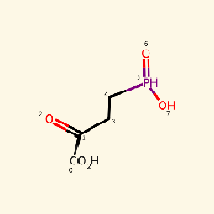 O=C(O)C(=O)CC[PH](=O)O